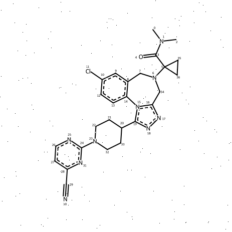 CN(C)C(=O)C1(N2Cc3cc(Cl)ccc3-n3c(nnc3C3CCN(c4nccc(C#N)n4)CC3)C2)CC1